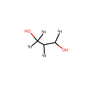 [2H]C(O)C([2H])C([2H])([2H])O